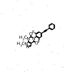 Cn1ncc2c(=O)n(-c3c(F)cc(C#Cc4ccccc4)cc3F)c(=O)n(C)c21